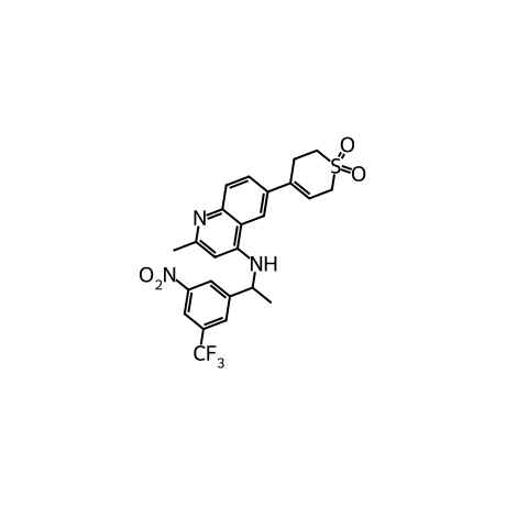 Cc1cc(NC(C)c2cc([N+](=O)[O-])cc(C(F)(F)F)c2)c2cc(C3=CCS(=O)(=O)CC3)ccc2n1